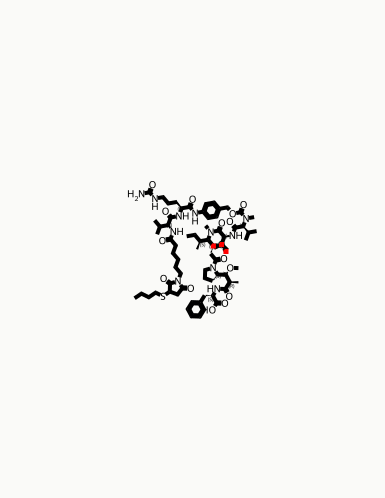 CCCCSC1CC(=O)N(CCCCCC(=O)N[C@H](C(=O)N[C@@H](CCCNC(N)=O)C(=O)Nc2ccc(COC(=O)N(C)[C@H](C(=O)N[C@H](C(=O)N(C)C([C@@H](C)CC)[C@@H](CC(=O)N3CCC[C@H]3[C@H](OC)[C@@H](C)C(=O)N[C@@H](Cc3ccccc3)C(=O)O)OC)C(C)C)C(C)C)cc2)C(C)C)C1=O